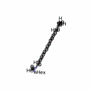 CCCCCC/C=C/[C@@H]1C(C/C=C\CCCC(=O)NCCOCCOCCOCCOCCOCCOCCOCCOCCOCCOCCOCCNC(=O)CCCC[C@H]2SCC3NC(=O)N[C@@H]32)C(=O)C[C@H]1O